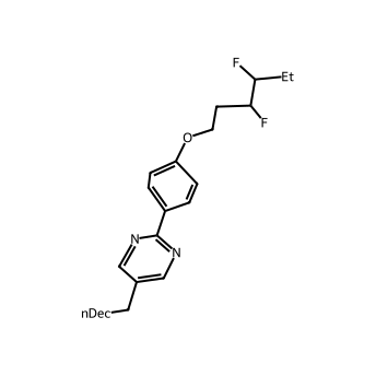 CCCCCCCCCCCc1cnc(-c2ccc(OCCC(F)C(F)CC)cc2)nc1